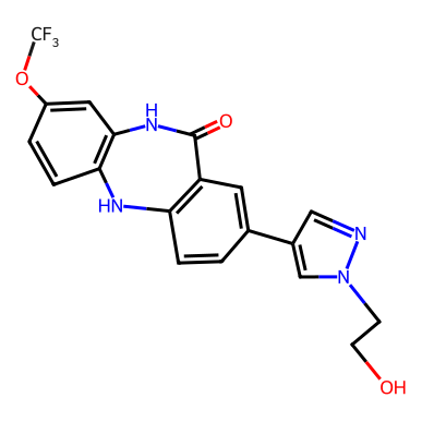 O=C1Nc2cc(OC(F)(F)F)ccc2Nc2ccc(-c3cnn(CCO)c3)cc21